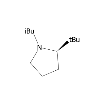 CCC(C)N1CCC[C@@H]1C(C)(C)C